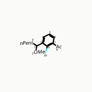 CCCCCC(OC)c1cccc(C(C)=O)c1F